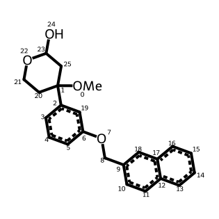 COC1(c2cccc(OCc3ccc4ccccc4c3)c2)CCOC(O)C1